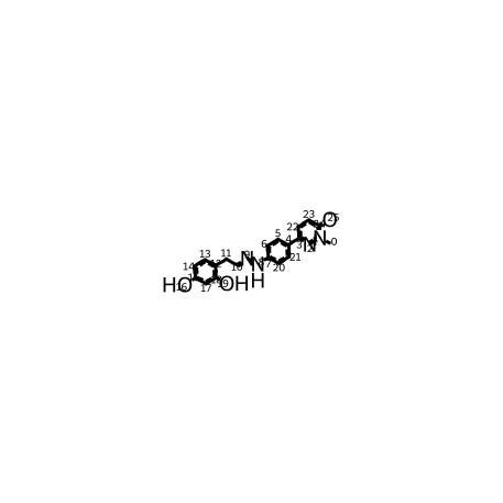 Cn1nc(-c2ccc(NN=CCc3ccc(O)cc3O)cc2)ccc1=O